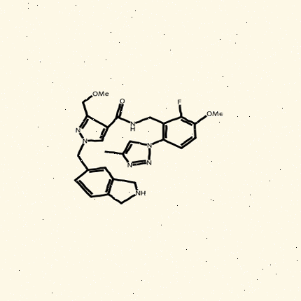 COCc1nn(Cc2ccc3c(c2)CNC3)cc1C(=O)NCc1c(-n2cc(C)nn2)ccc(OC)c1F